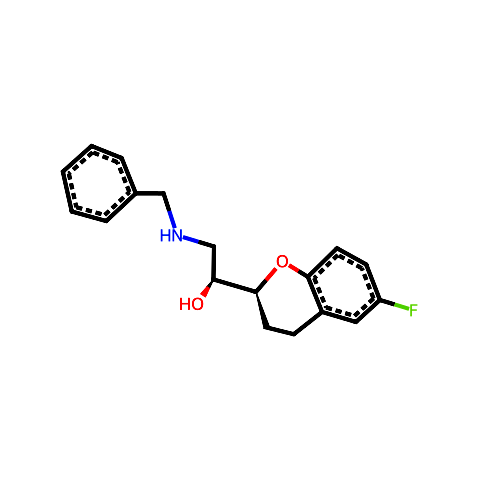 O[C@@H](CNCc1ccccc1)[C@@H]1CCc2cc(F)ccc2O1